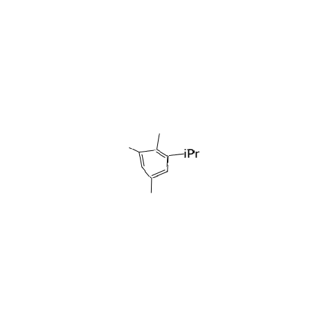 Cc1cc(C)c(C)c(C(C)C)c1